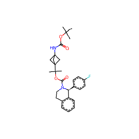 CC(C)(C)OC(=O)NC12CC(C(C)(C)OC(=O)N3CCc4ccccc4[C@@H]3c3ccc(F)cc3)(C1)C2